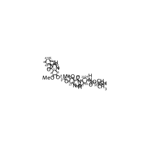 COc1cc2c(cc1OCCCOc1cc3c(cc1OC)C(=O)N1c4ccc(NC(=O)OCC(C)(C)S)cc4C[C@H]1C=N3)N=C[C@@H]1Cc3ccccc3N1C2=O